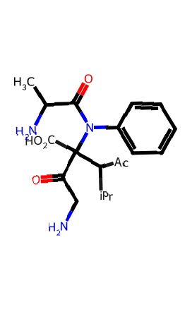 CC(=O)C(C(C)C)C(C(=O)O)(C(=O)CN)N(C(=O)C(C)N)c1ccccc1